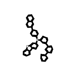 c1ccc(-c2cccc(-c3cccc(N(c4ccc(-c5ccc6ccccc6c5)cc4)c4ccc5c(c4)oc4ccccc45)c3)c2)cc1